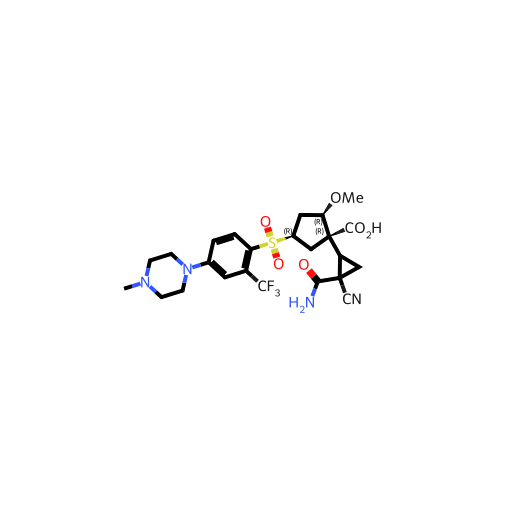 CO[C@@H]1C[C@H](S(=O)(=O)c2ccc(N3CCN(C)CC3)cc2C(F)(F)F)C[C@@]1(C(=O)O)C1CC1(C#N)C(N)=O